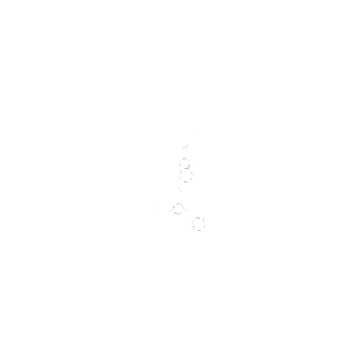 CCC/C=C/c1cc2cc(N(CCCC)Cc3cncn3Cc3ccccc3)ccc2s1